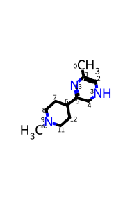 CC1=CNCC(C2CCN(C)CC2)=N1